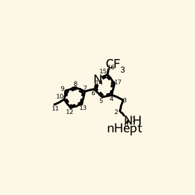 CCCCCCCNCCc1cc(-c2ccc(C)cc2)nc(C(F)(F)F)c1